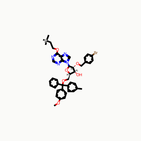 COc1ccc(C(OC[C@H]2OC(n3cnc4c(OCC[Si](C)(C)C)ncnc43)[C@H](OCc3ccc(Br)cc3)[C@@H]2O)(c2ccccc2)c2ccc(C)cc2)cc1